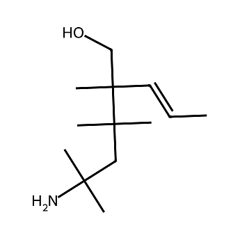 CC=CC(C)(CO)C(C)(C)CC(C)(C)N